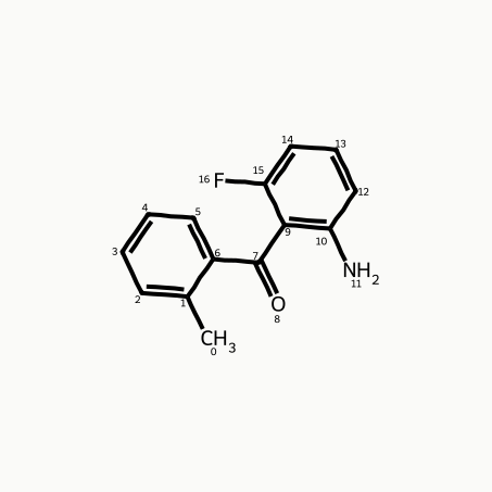 Cc1ccccc1C(=O)c1c(N)cccc1F